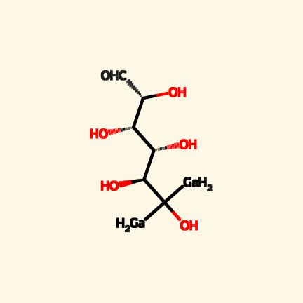 O=C[C@H](O)[C@@H](O)[C@H](O)[C@H](O)[C](O)([GaH2])[GaH2]